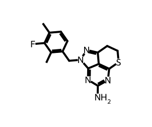 Cc1ccc(Cn2nc3c4c(nc(N)nc42)SCC3)c(C)c1F